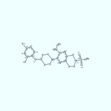 CC(C)Nc1nc2c(nc1N1CCC(Oc3ccc(F)cc3F)CC1)CCN(S(=O)(=O)C(C)C)C2